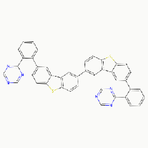 c1ccc(-c2ncncn2)c(-c2ccc3sc4ccc(-c5ccc6sc7ccc(-c8ccccc8-c8ncncn8)cc7c6c5)cc4c3c2)c1